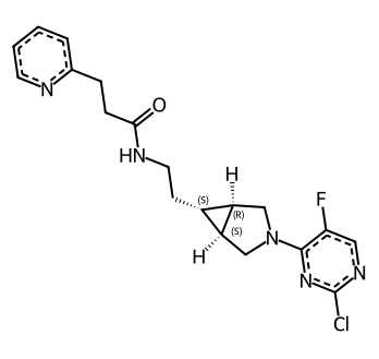 O=C(CCc1ccccn1)NCC[C@@H]1[C@H]2CN(c3nc(Cl)ncc3F)C[C@@H]12